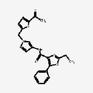 CCc1nc(C(=O)Nc2cnn(Cc3ccc(C(C)=O)o3)c2)c(-c2ccccc2)o1